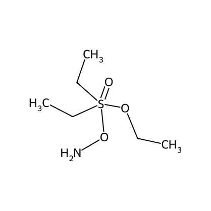 CCOS(=O)(CC)(CC)ON